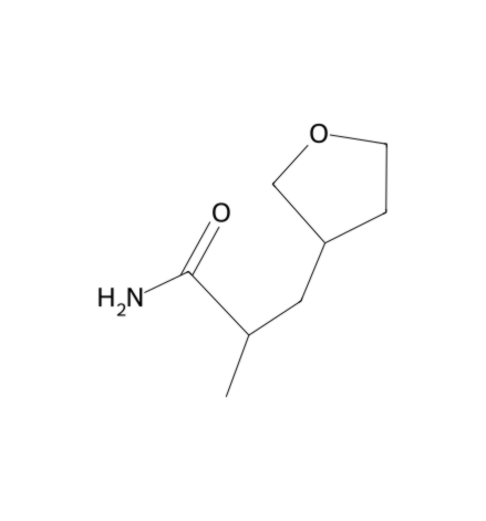 CC(CC1CCOC1)C(N)=O